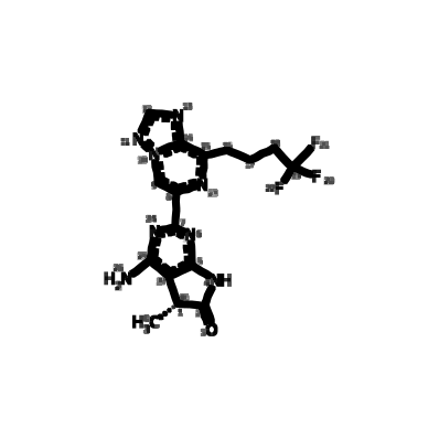 C[C@H]1C(=O)Nc2nc(-c3cn4ncnc4c(CCCC(F)(F)F)n3)nc(N)c21